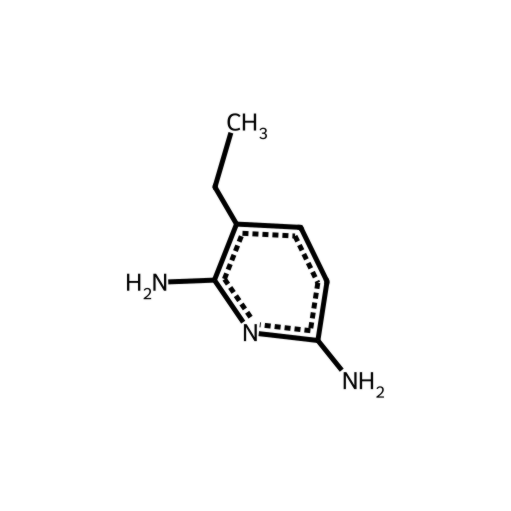 CCc1ccc(N)nc1N